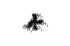 CC(COC(=O)Oc1ccc(C(OC[C@H]2O[C@@H](n3cnc4c(NC(=O)C(C)(C)C)ncnc43)C[C@@H]2O)(c2ccc(OC(=O)OCC(C)c3ccccc3[N+](=O)[O-])cc2)c2ccc(OC(=O)OCC(C)c3ccccc3[N+](=O)[O-])cc2)cc1)c1ccccc1[N+](=O)[O-]